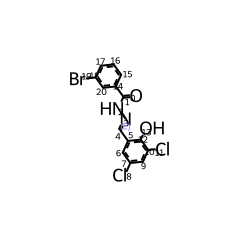 O=C(N/N=C/c1cc(Cl)cc(Cl)c1O)c1cccc(Br)c1